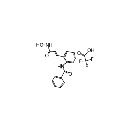 O=C(C=Cc1ccccc1NC(=O)c1ccccc1)NO.O=C(O)C(F)(F)F